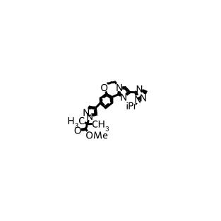 COC(=O)C(C)(C)n1cc(-c2ccc3c(c2)OCCn2cc(-c4ncnn4C(C)C)nc2-3)cn1